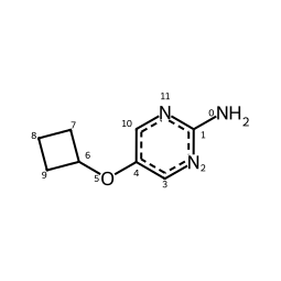 Nc1ncc(OC2CCC2)cn1